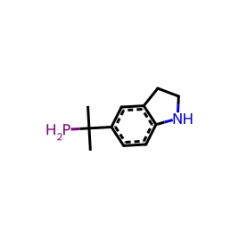 CC(C)(P)c1ccc2c(c1)CCN2